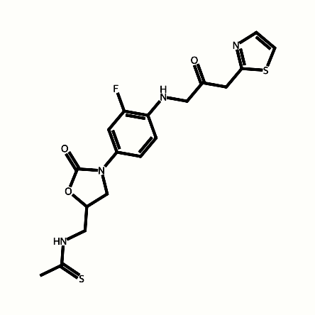 CC(=S)NCC1CN(c2ccc(NCC(=O)Cc3nccs3)c(F)c2)C(=O)O1